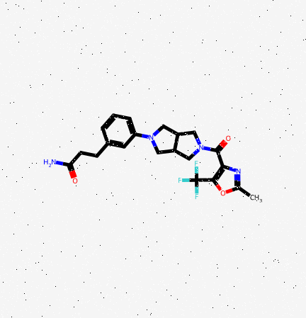 Cc1nc(C(=O)N2CC3CN(c4cccc(CCC(N)=O)c4)CC3C2)c(C(F)(F)F)o1